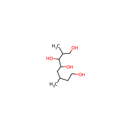 CC(CCO)CC(O)C(O)C(C)CO